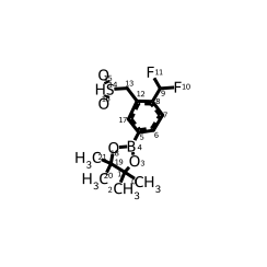 CC1(C)OB(c2ccc(C(F)F)c(C[SH](=O)=O)c2)OC1(C)C